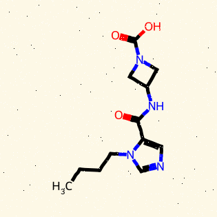 CCCCn1cncc1C(=O)NC1CN(C(=O)O)C1